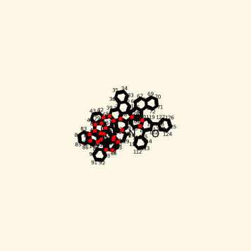 c1cc(-c2ccccc2-n2c3ccccc3c3ccccc32)cc(N(c2cccc(-c3cc4ccccc4c4cc(-c5cccc6c5oc5c(-c7ccccc7N(c7ccc(-c8ccc9c(ccc%10ccccc%109)c8)cc7)c7cccc(-c8ccccc8-n8c9ccccc9c9ccccc98)c7)cccc56)ccc34)c2)c2ccccc2-c2cccc3c2oc2ccccc23)c1